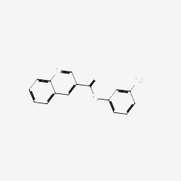 Nc1cccc(NC(=O)c2cnc3ccccc3c2)c1